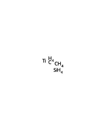 C.C.[SiH4].[Ti]